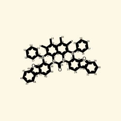 Cc1c2c3c4c5c(c(C)c(C)c4c1C)B(c1ccccc1)c1c(ccc4c1oc1ccccc14)N5C(=O)N3c1ccc3c(oc4ccccc43)c1B2c1ccccc1